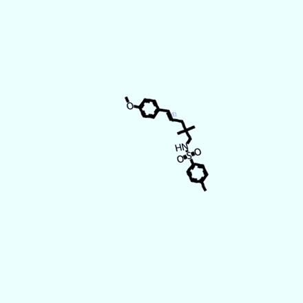 COc1ccc(/C=C/CC(C)(C)CNS(=O)(=O)c2ccc(C)cc2)cc1